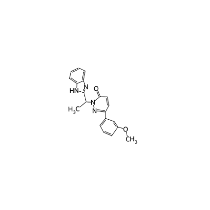 COc1cccc(-c2ccc(=O)n(C(C)c3nc4ccccc4[nH]3)n2)c1